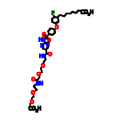 O=C(O)CCCCCCCc1cc(Oc2ccc(S(=O)(=O)Nc3ncc(C(=O)NCCOCCOCC(=O)NCCOCCOCC(=O)O)cn3)cc2)ccc1F